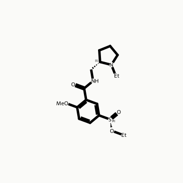 CCO[S@@](=O)c1ccc(OC)c(C(=O)NC[C@@H]2CCCN2CC)c1